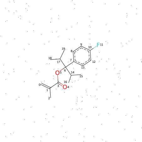 C=C(C)C(=O)OC(c1ccc(F)cc1)(C(C)C)C(C)C